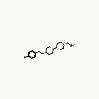 CC(C)C[Si@H]1CC[C@H]([C@H]2CC[C@H](CCc3ccc(F)cc3)CC2)CC1